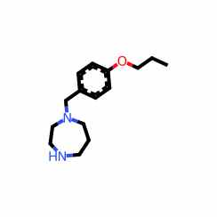 CCCOc1ccc(CN2CCCNCC2)cc1